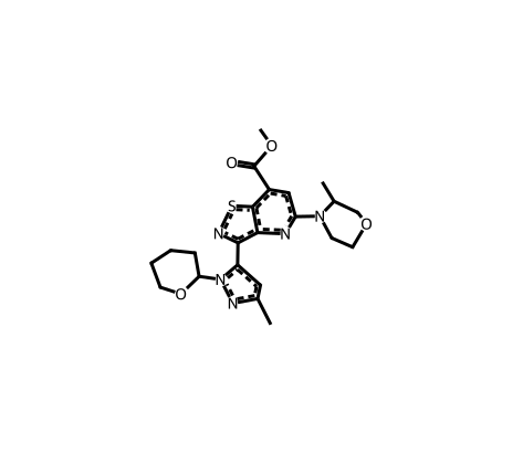 COC(=O)c1cc(N2CCOCC2C)nc2c(-c3cc(C)nn3C3CCCCO3)nsc12